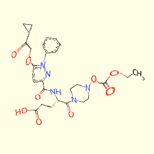 CCOC(=O)ON1CCN(C(=O)[C@H](CCC(=O)O)NC(=O)c2cc(OCC(=O)C3CC3)n(-c3ccccc3)n2)CC1